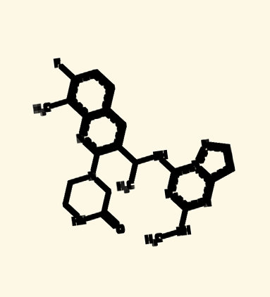 CNc1nc(NC(C)c2cc3ccc(F)c(C)c3nc2N2CCNC(=O)C2)n2nccc2n1